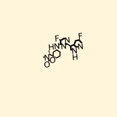 C[C@@H]1N(C)C(=O)O[C@]12CCC[C@H](Nc1nc(-c3c[nH]c4ncc(F)cc34)ncc1F)C2